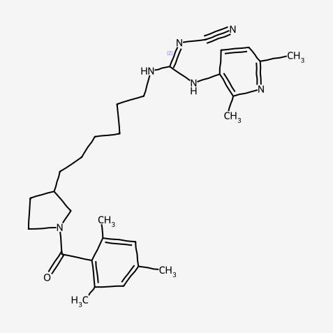 Cc1cc(C)c(C(=O)N2CCC(CCCCCCN/C(=N/C#N)Nc3ccc(C)nc3C)C2)c(C)c1